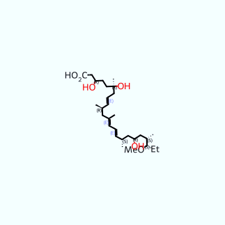 CC[C@H](OC)[C@@H](C)C[C@H](O)C[C@H](C)/C=C/C=C(\C)C[C@@H](C)/C=C/C[C@](C)(O)CC[C@@H](O)CC(=O)O